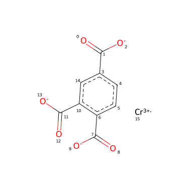 O=C([O-])c1ccc(C(=O)[O-])c(C(=O)[O-])c1.[Cr+3]